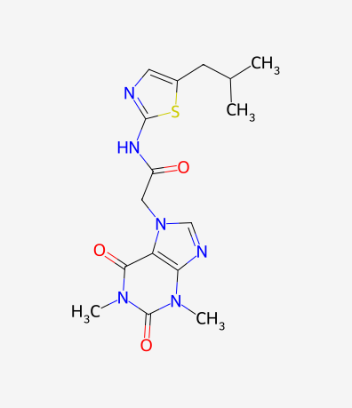 CC(C)Cc1cnc(NC(=O)Cn2cnc3c2c(=O)n(C)c(=O)n3C)s1